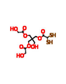 O=C(CO)OCC(CO)(COC(=O)CO)COC(=O)C(S)S